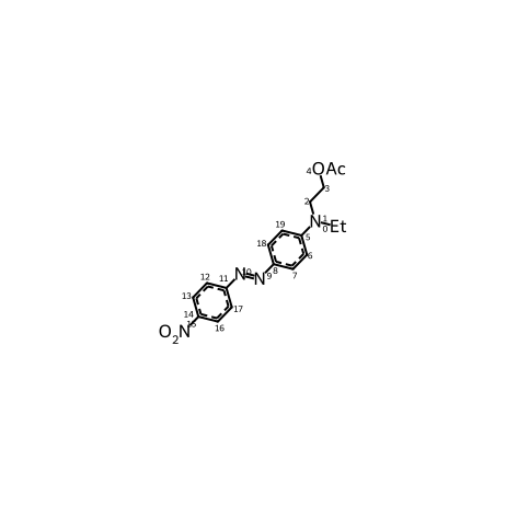 CCN(CCOC(C)=O)c1ccc(N=Nc2ccc([N+](=O)[O-])cc2)cc1